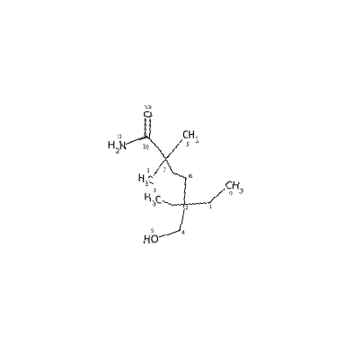 CCC(C)(CO)CC(C)(C)C(N)=O